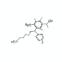 COc1c(C)c(C)c(C(C)O)c(C)c1[C@H](CCCCCC(=O)O)c1ccc(F)cc1